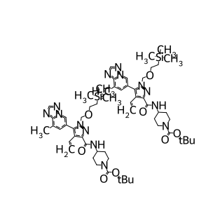 C=Cc1c(C(=O)NC2CCN(C(=O)OC(C)(C)C)CC2)nn(COCC[Si](C)(C)C)c1-c1cc(C)c2ncnn2c1.C=Cc1c(C(=O)NC2CCN(C(=O)OC(C)(C)C)CC2)nn(COCC[Si](C)(C)C)c1-c1cc(C)c2ncnn2c1